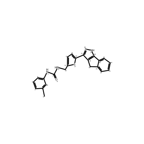 Cc1cccc(NC(=O)NCc2ccc(-c3n[nH]c4c3Cc3ccccc3-4)s2)c1